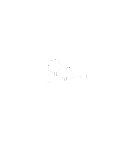 COCC1CCC[N+]1(C)C